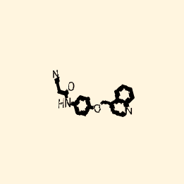 N#CCC(=O)Nc1ccc(OCc2ccnc3ccccc23)cc1